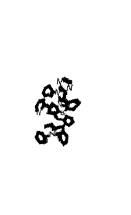 C=Cc1c(-c2cccc3c2Cc2cc(-c4ccccn4)cc4c2B3c2cccc3c5c6nccnc6n(-c6ccccc6)c5n-4c23)c2ccccc2n1-c1ccccc1